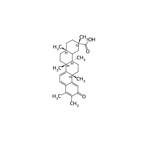 CC1=C(C)C2=CC=C3[C@](C)(CC[C@]4(C)C5C[C@@](C)(C(=O)O)CC[C@@]5(C)CC[C@@]34C)C2=CC1=O